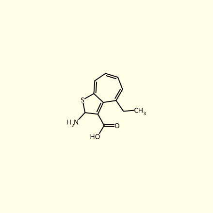 CCC1=CC=CC=C2SC(N)C(C(=O)O)=C12